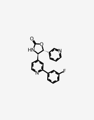 O=C1N[C@H](c2ccnc(-c3cccc(F)c3)c2)[C@@H](c2cccnc2)O1